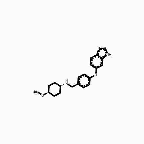 CC(C)(C)O[C@H]1CC[C@H](NCc2ccc(Oc3ccc4nc[nH]c4c3)cc2)CC1